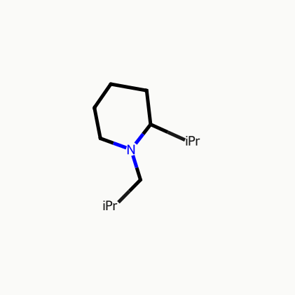 CC(C)CN1CCCCC1C(C)C